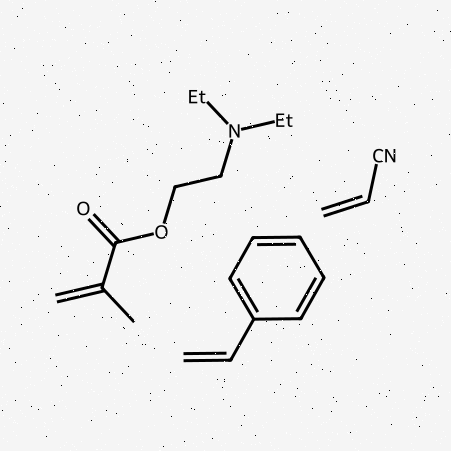 C=C(C)C(=O)OCCN(CC)CC.C=CC#N.C=Cc1ccccc1